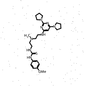 COc1ccc(NC(=S)NCCN(C)CCNc2cc(N3CCCC3)nc(N3CCCC3)n2)cc1